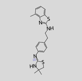 Cc1cccc2sc(NCCc3ccc(/N=C4/NC(C)(C)CS4)cc3)nc12